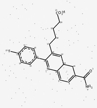 NC(=O)C1=CC=C2N=C(c3ccc(F)cc3)C(CCCCC(=O)O)=CC2C1